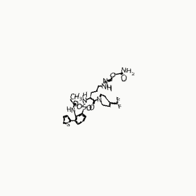 CCC(=O)Nc1c(-c2cccs2)cccc1S(=O)(=O)N[C@@H](CCCNN=COC(N)=O)C(=O)N1CCC(=C(F)F)CC1